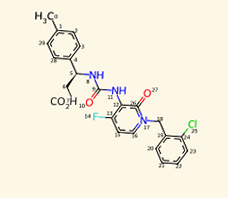 Cc1ccc([C@H](CC(=O)O)NC(=O)Nc2c(F)ccn(Cc3ccccc3Cl)c2=O)cc1